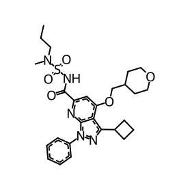 CCCN(C)S(=O)(=O)NC(=O)c1cc(OCC2CCOCC2)c2c(C3CCC3)nn(-c3ccccc3)c2n1